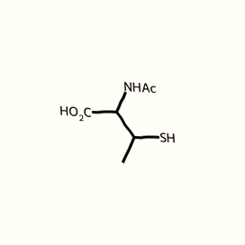 CC(=O)NC(C(=O)O)C(C)S